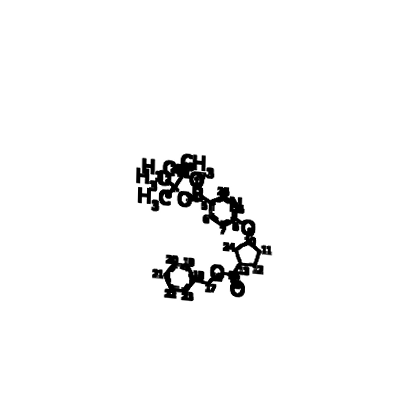 CC1(C)OB(c2ccc(OC3CCC(C(=O)OCc4ccccc4)C3)nc2)OC1(C)C